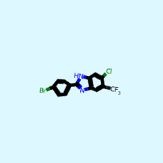 FC(F)(F)c1cc2nc(-c3ccc(Br)cc3)[nH]c2cc1Cl